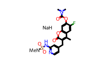 CNS(=O)(=O)Nc1cc(Cc2c(C)c3cc(F)c(OC(=O)N(C)C)cc3oc2=O)ccn1.[NaH]